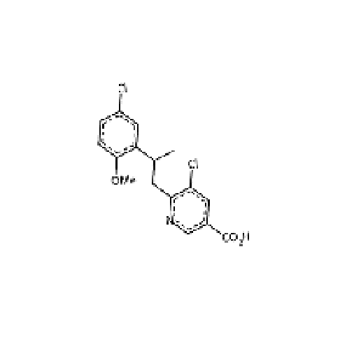 COc1ccc(Cl)cc1C(C)Cc1ncc(C(=O)O)cc1Cl